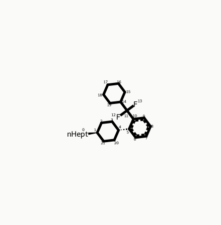 CCCCCCC[C@H]1CC[C@H](c2ccccc2C(F)(F)C2CCCCC2)CC1